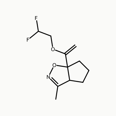 C=C(OCC(F)F)C12CCCC1C(C)=NO2